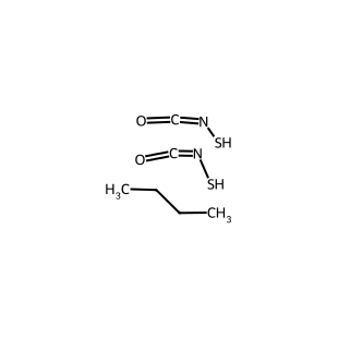 CCCC.O=C=NS.O=C=NS